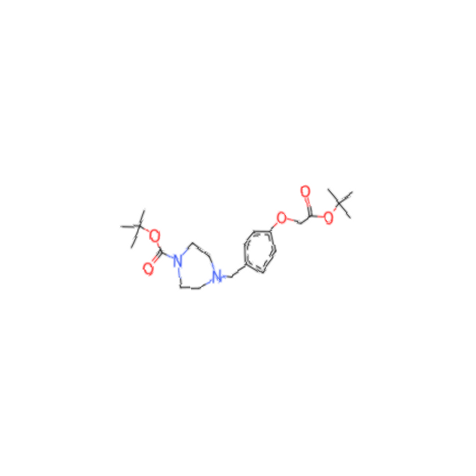 CC(C)(C)OC(=O)COc1ccc(CN2CCN(C(=O)OC(C)(C)C)CC2)cc1